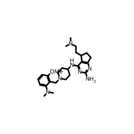 COc1cccc(N(C)C)c1CN1CCC(Nc2nc(N)nc3c2C(CCN(C)C)CC3)CC1